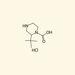 CC(C)(C)C1CNCCN1C(=O)O.Cl